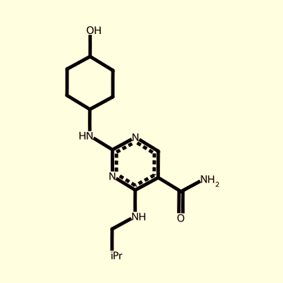 CC(C)CNc1nc(NC2CCC(O)CC2)ncc1C(N)=O